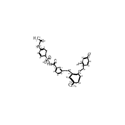 CC(=O)NC1=CCC(S(=O)(=O)NC(=O)c2cccc(Cc3cc(Cl)ccc3OCc3ccc(Cl)cc3F)n2)C=C1